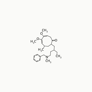 CCC(CCN(C)Cc1ccccc1)CC1CC(C)/C=C(OC)\C(OC)=C/CC1=O